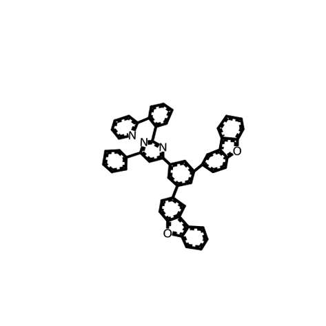 c1ccc(-c2cc(-c3cc(-c4ccc5oc6ccccc6c5c4)cc(-c4ccc5oc6ccccc6c5c4)c3)nc(-c3ccccc3-c3ccccn3)n2)cc1